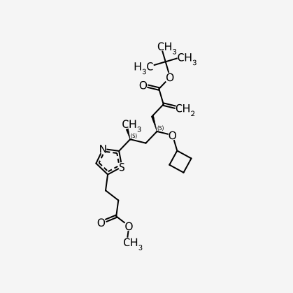 C=C(C[C@H](C[C@H](C)c1ncc(CCC(=O)OC)s1)OC1CCC1)C(=O)OC(C)(C)C